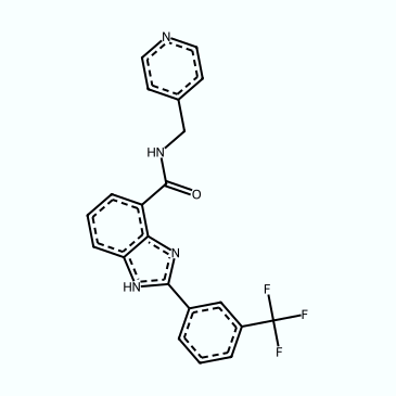 O=C(NCc1ccncc1)c1cccc2[nH]c(-c3cccc(C(F)(F)F)c3)nc12